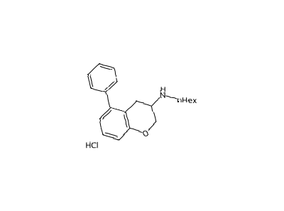 CCCCCCNC1COc2cccc(-c3ccccc3)c2C1.Cl